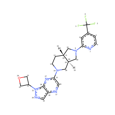 FC(F)(F)c1ccnc(N2C[C@H]3CCN(c4cnc5cnn(C6COC6)c5n4)C[C@@H]3C2)c1